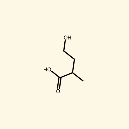 [CH2]C(CCO)C(=O)O